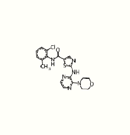 Cc1cccc(Cl)c1NC(=O)c1cnc(Nc2nccnc2N2CCOCC2)s1